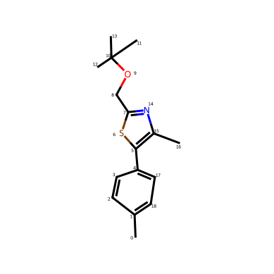 Cc1ccc(-c2sc(COC(C)(C)C)nc2C)cc1